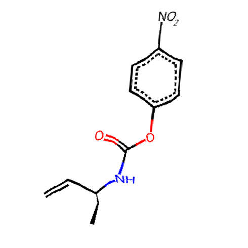 C=C[C@H](C)NC(=O)Oc1ccc([N+](=O)[O-])cc1